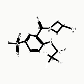 C[C@@H](Oc1ccc(S(C)(=O)=O)cc1C(=O)N1CC(O)C1)C(F)(F)F